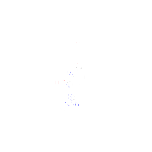 Cc1c(Nc2nc3ccccc3s2)nnc2c1CCCC2Cc1ccc(-c2cnn(CC34CC5(C)CC(C)(C3)CC(OCCCCCCCO)(C5)C4)c2C)c(C(=O)O)n1